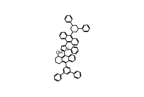 OC1CCCc2c1c(-c1ccc(-c3c4ccccc4c(C4CC(c5ccccc5)CC(c5ccccc5)C4)c4ccccc34)n1-c1ccccc1)c1ccccc1c2-c1cc(-c2ccccc2)cc(-c2ccccc2)c1